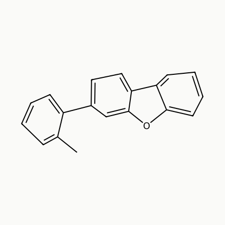 Cc1ccccc1-c1ccc2c(c1)oc1ccccc12